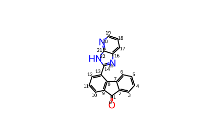 O=C1c2ccccc2-c2c1cccc2-c1nc2cccnc2[nH]1